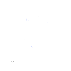 COC1CCN(C(=O)c2cc3c(cc2C)[nH]c(=O)c2cnn(C4CCOCC4)c23)CC1